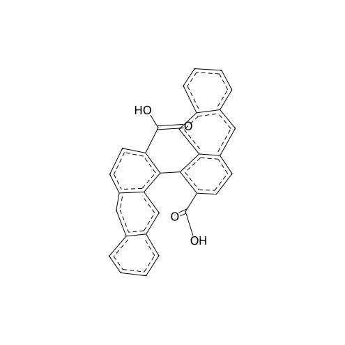 O=C(O)c1ccc2cc3ccccc3cc2c1-c1c(C(=O)O)ccc2cc3ccccc3cc12